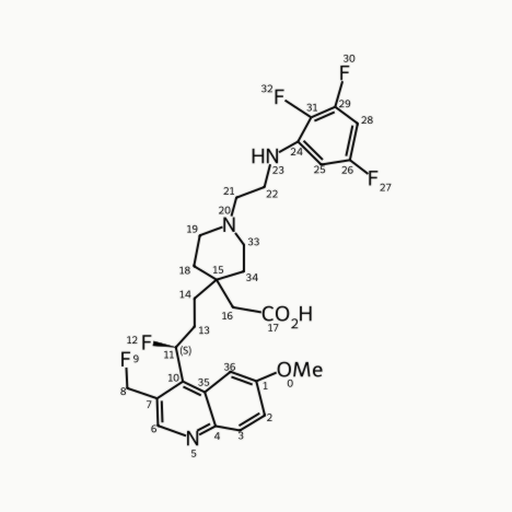 COc1ccc2ncc(CF)c([C@@H](F)CCC3(CC(=O)O)CCN(CCNc4cc(F)cc(F)c4F)CC3)c2c1